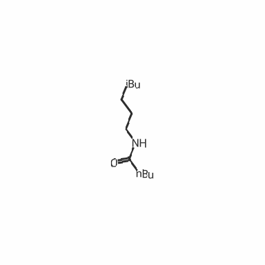 [CH2]CCCC(=O)NCCCC(C)CC